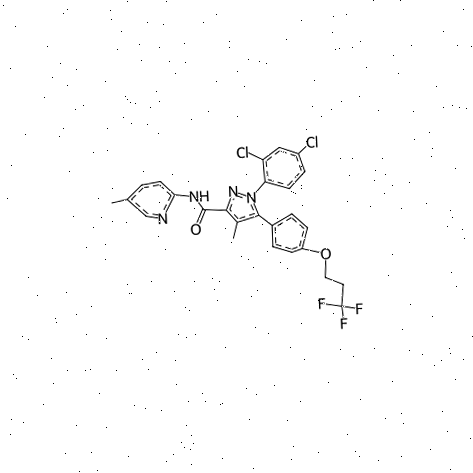 Cc1ccc(NC(=O)c2nn(-c3ccc(Cl)cc3Cl)c(-c3ccc(OCCC(F)(F)F)cc3)c2C)nc1